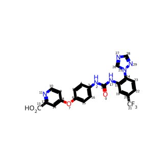 O=C(Nc1ccc(Oc2ccnc(C(=O)O)c2)cc1)Nc1cc(C(F)(F)F)ccc1-n1cncn1